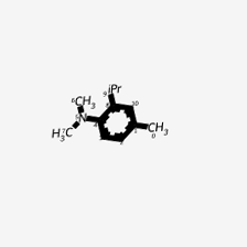 Cc1ccc(N(C)C)c(C(C)C)c1